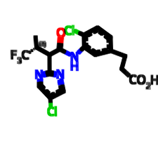 C[C@H](C(C(=O)Nc1cc(CCC(=O)O)ccc1Cl)c1ncc(Cl)cn1)C(F)(F)F